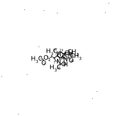 CC(=O)OCCC1CN(C(C)=O)c2c(NC(=O)C(C)(C)C)c(C)cc(C)c21